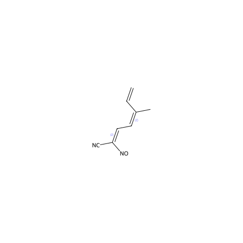 C=C/C(C)=C\C=C(\C#N)N=O